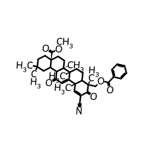 COC(=O)[C@]12CCC(C)(C)CC1C1C(=O)C=C3[C@@]4(C)C=C(C#N)C(=O)[C@@](C)(COC(=O)c5ccccc5)C4CC[C@@]3(C)[C@]1(C)CC2